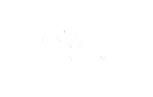 CN(C(=O)O)[C@@H](Cc1ccccc1)C(=O)N(C)[C@@H](Cc1ccc(N)cc1)c1csc(-c2cccs2)n1